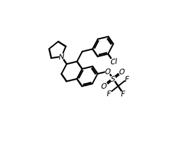 O=S(=O)(Oc1ccc2c(c1)C(Cc1cccc(Cl)c1)C(N1CCCC1)CC2)C(F)(F)F